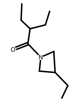 CCC1CN(C(=O)C(CC)CC)C1